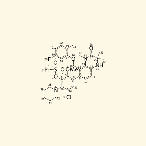 CCCS(=O)(=O)Oc1c(OC)c(-c2ccc3c(c2COc2cc(F)ccc2C)N(C)C(=O)C(C)(C)N3)cc(Cl)c1N1CCCCC1